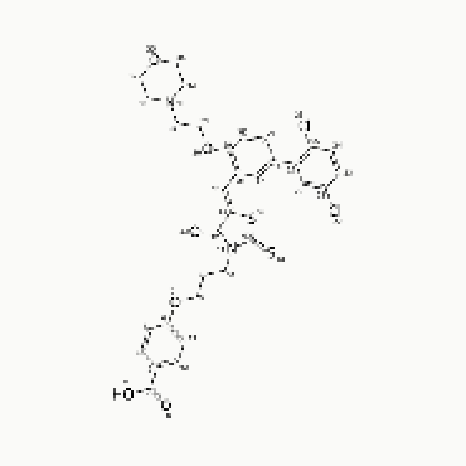 O=C(O)c1ccc(OCCCN2C(=O)/C(=C/c3cc(-c4cc(Cl)ccc4Cl)ccc3OCCN3CCOCC3)SC2=S)cc1